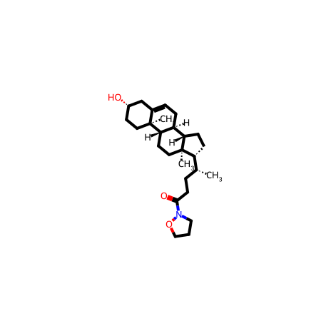 C[C@H](CCC(=O)N1CCCO1)[C@H]1CC[C@H]2[C@@H]3CC=C4C[C@@H](O)CC[C@]4(C)[C@H]3CC[C@]12C